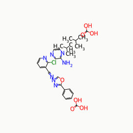 CC(C)C.CC(C)C.N#Cc1cccnc1Cl.Nc1cnccn1.O=C(O)O.O=C(O)O.c1ccc(-c2nnco2)cc1